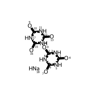 O=c1[nH]c(=O)[nH]c(=O)[nH]1.O=c1[nH]c(=O)[nH]c(=O)[nH]1.[NaH]